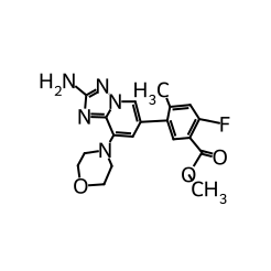 COC(=O)c1cc(-c2cc(N3CCOCC3)c3nc(N)nn3c2)c(C)cc1F